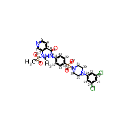 CN(c1cnccc1C(=O)Nc1ccc(S(=O)(=O)N2CCN(c3cc(Cl)cc(Cl)c3)CC2)cc1)S(C)(=O)=O